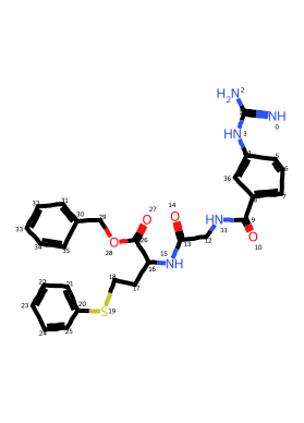 N=C(N)Nc1cccc(C(=O)NCC(=O)NC(CCSc2ccccc2)C(=O)OCc2ccccc2)c1